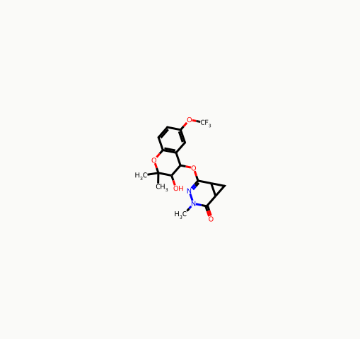 CN1N=C(OC2c3cc(OC(F)(F)F)ccc3OC(C)(C)C2O)C2CC2C1=O